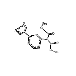 CC(C)(C)OC(=O)N(C(=O)OC(C)(C)C)c1ccnc(-c2cn[nH]c2)n1